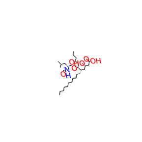 CCCCCCCCCCC[C@@H](C[C@@H](O)CC(=O)O)C(CCCCC)OC(=O)[C@H](CC(C)C)NC=O